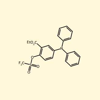 CCOC(=O)c1cc(N(c2ccccc2)c2ccccc2)ccc1OS(=O)(=O)C(F)(F)F